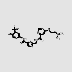 CN(C)CCNc1cc(C(=O)NCc2ncc(C(=O)Nc3cc(C(F)(F)F)c(Cl)cn3)s2)ncn1